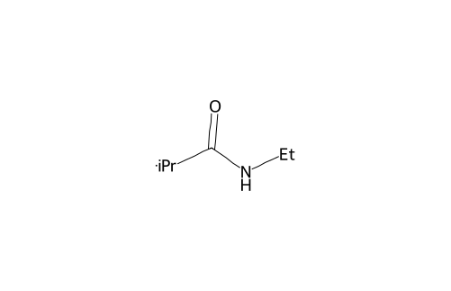 CCNC(=O)[C](C)C